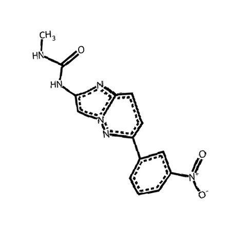 CNC(=O)Nc1cn2nc(-c3cccc([N+](=O)[O-])c3)ccc2n1